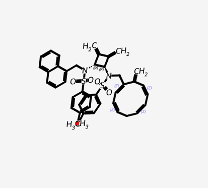 C=C1/C=C\C=C/C/C=C\C=C/1CN([C@@H]1C(=C)C(=C)[C@H]1N(Cc1cccc2ccccc12)S(=O)(=O)c1ccc(C)cc1)S(=O)(=O)c1ccc(C)cc1